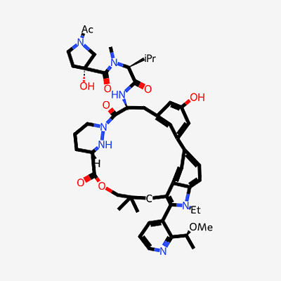 CCn1c(-c2cccnc2[C@H](C)OC)c2c3cc(ccc31)-c1cc(O)cc(c1)C[C@H](NC(=O)[C@H](C(C)C)N(C)C(=O)[C@@]1(O)CCN(C(C)=O)C1)C(=O)N1CCC[C@H](N1)C(=O)OCC(C)(C)C2